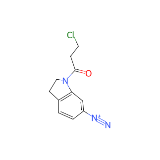 N#[N+]c1ccc2c(c1)N(C(=O)CCCl)CC2